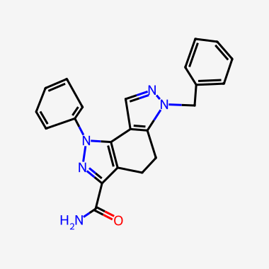 NC(=O)c1nn(-c2ccccc2)c2c1CCc1c-2cnn1Cc1ccccc1